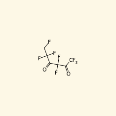 O=C(C(F)(F)F)C(F)(F)C(=O)C(F)(F)CF